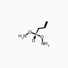 C=CCP(=O)(ON)ON